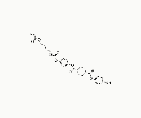 C=CC(=O)OCCCCOC(=O)Oc1ccc(OC(=O)[C@H]2CC[C@H](C(=O)Oc3ccc(O)cc3)CC2)cc1